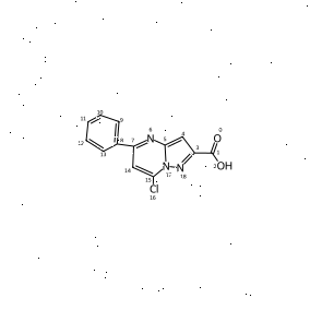 O=C(O)c1cc2nc(-c3ccccc3)cc(Cl)n2n1